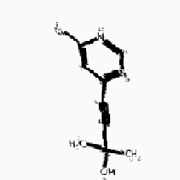 CC(C)(O)C#Cc1cc(Cl)ncn1